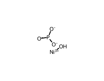 [O-]P([O-])[O-].[OH][Ni+3]